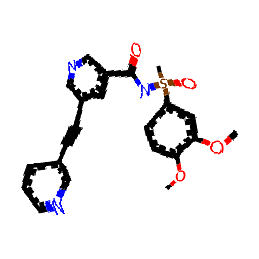 COc1ccc(S(C)(=O)=NC(=O)c2cncc(C#Cc3cccnc3)c2)cc1OC